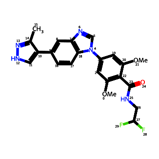 COc1cc(-n2cnc3cc(-c4c[nH]nc4C)ccc32)cc(OC)c1C(=O)NCC(F)F